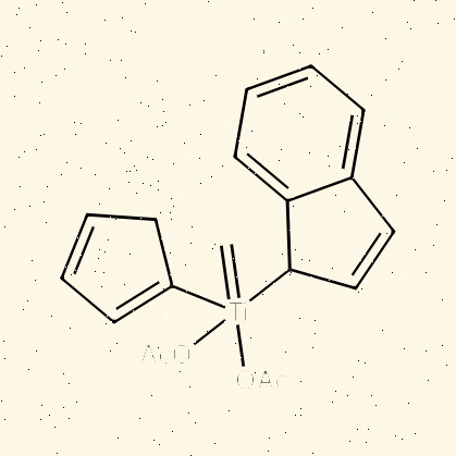 [CH2]=[Ti]([O]C(C)=O)([O]C(C)=O)([C]1=CC=CC1)[CH]1C=Cc2ccccc21